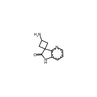 NC1CC2(C1)C(=O)Nc1cccnc12